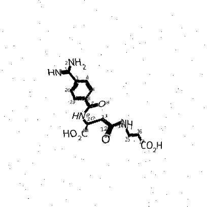 N=C(N)c1ccc(C(=O)N[C@@H](CC(=O)NCCC(=O)O)C(=O)O)cc1